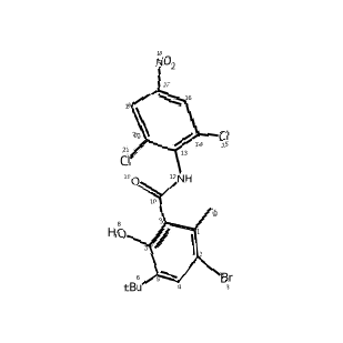 Cc1c(Br)cc(C(C)(C)C)c(O)c1C(=O)Nc1c(Cl)cc([N+](=O)[O-])cc1Cl